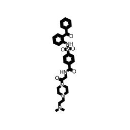 CN(C)CCN1CCN(C(=O)CNC(=O)c2ccc(S(=O)(=O)Nc3ccccc3C(=O)c3ccccc3)cc2)CC1